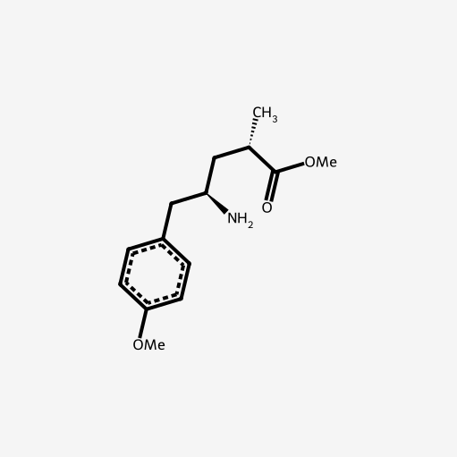 COC(=O)[C@@H](C)C[C@@H](N)Cc1ccc(OC)cc1